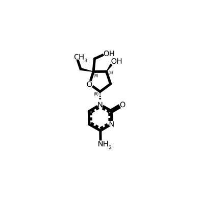 CC[C@]1(CO)O[C@@H](n2ccc(N)nc2=O)C[C@@H]1O